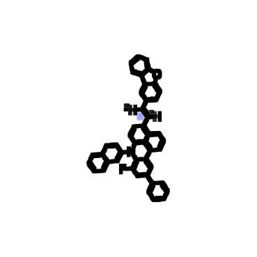 [2H]/C(=C(/[2H])c1ccc2oc3ccccc3c2c1)c1ccc(N(c2ccc3ccccc3c2)c2c(F)cc(-c3ccccc3)cc2-c2ccccc2)cc1